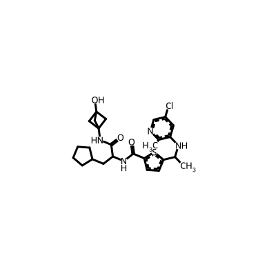 Cc1ncc(Cl)cc1NC(C)c1ccc(C(=O)NC(CC2CCCC2)C(=O)NC23CC(O)(C2)C3)s1